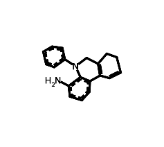 Nc1cccc2c1N(c1ccccc1)CC1=C2C=CCC1